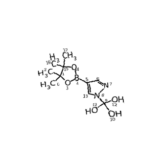 CC1(C)OB(c2cnn(C(O)(O)O)c2)OC1(C)C